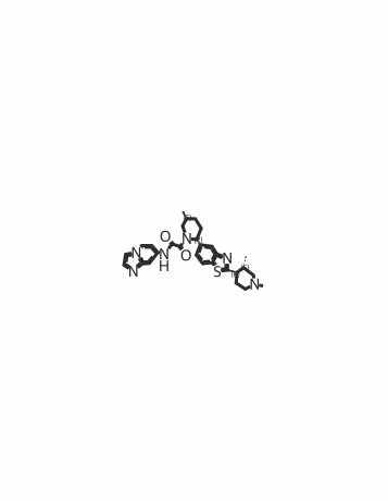 C[C@H]1CC[C@H](c2ccc3sc([C@@H]4CCN(C)C[C@H]4C)nc3c2)N(C(=O)C(=O)Nc2ccn3ccnc3c2)C1